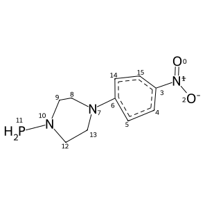 O=[N+]([O-])c1ccc(N2CCN(P)CC2)cc1